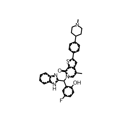 Cc1cn(C(c2nc3ccccc3[nH]2)c2cc(F)ccc2O)c(=O)c2sc(-c3ccc(C4CCN(C)CC4)cc3)cc12